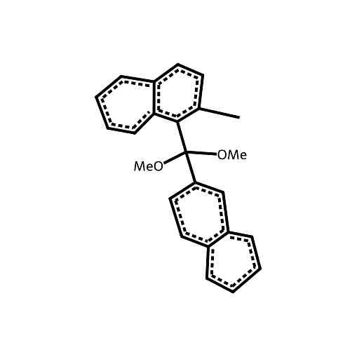 COC(OC)(c1ccc2ccccc2c1)c1c(C)ccc2ccccc12